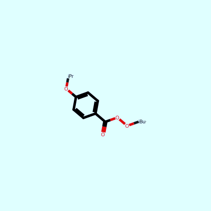 CC[C](C)OOC(=O)c1ccc(OC(C)C)cc1